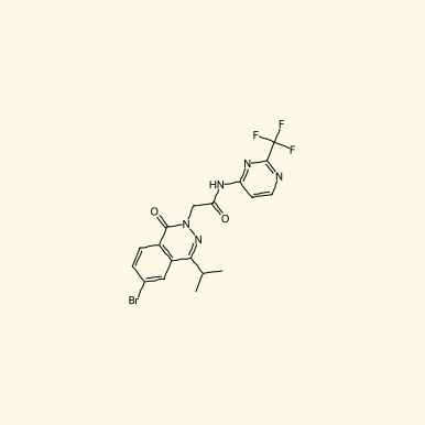 CC(C)c1nn(CC(=O)Nc2ccnc(C(F)(F)F)n2)c(=O)c2ccc(Br)cc12